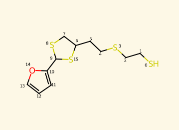 SCCSCCC1CSC(c2ccco2)S1